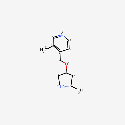 Cc1cnccc1COC1CCNC(C)C1